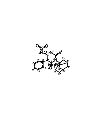 CNC(=S)N(C(=O)C(CN=S(=O)=O)c1ccccc1)C12CC3CC(C1)C(OC)C(C3)C2